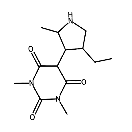 CCC1CNC(C)C1C1C(=O)N(C)C(=O)N(C)C1=O